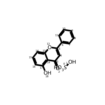 O=S(=O)(O)O.O=c1cc(-c2ccccc2)oc2cccc(O)c12